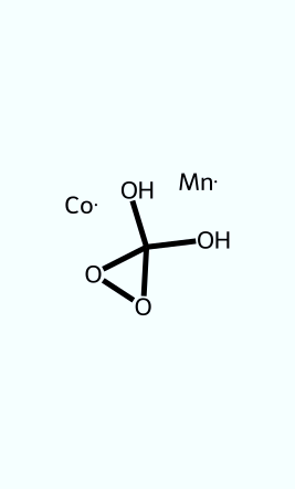 OC1(O)OO1.[Co].[Mn]